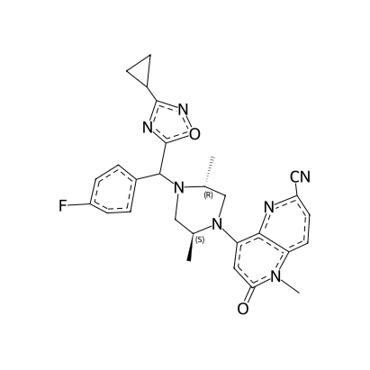 C[C@@H]1CN(c2cc(=O)n(C)c3ccc(C#N)nc23)[C@@H](C)CN1C(c1ccc(F)cc1)c1nc(C2CC2)no1